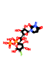 O=c1ccn([C@@H]2O[C@H](COP(=O)(OP(=O)(O)O)[C@]3(CO)O[C@H](O)[C@H](F)[C@@H](O)[C@H]3O)[C@@H](O)[C@H]2O)c(=O)[nH]1